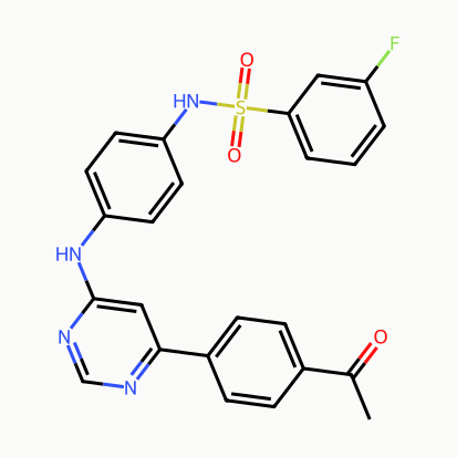 CC(=O)c1ccc(-c2cc(Nc3ccc(NS(=O)(=O)c4cccc(F)c4)cc3)ncn2)cc1